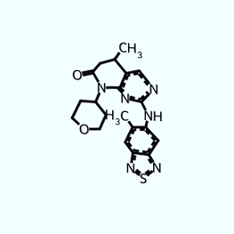 Cc1cc2nsnc2cc1Nc1ncc2c(n1)N(C1CCOCC1)C(=O)CC2C